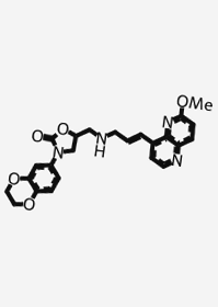 COc1ccc2nccc(C=CCNCC3CN(c4ccc5c(c4)OCCO5)C(=O)O3)c2n1